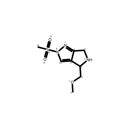 COCC1NCc2nn(S(C)(=O)=O)cc21